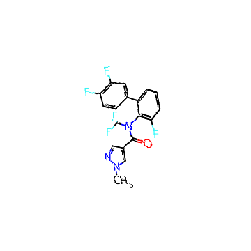 Cn1cc(C(=O)N(c2c(F)cccc2-c2ccc(F)c(F)c2)C(F)F)cn1